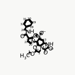 CCOC(=O)Cn1c(=O)c(=O)[nH]c2cc([N+](=O)[O-])c(-n3ccc(C(=O)NCc4ccccc4)c3)cc21